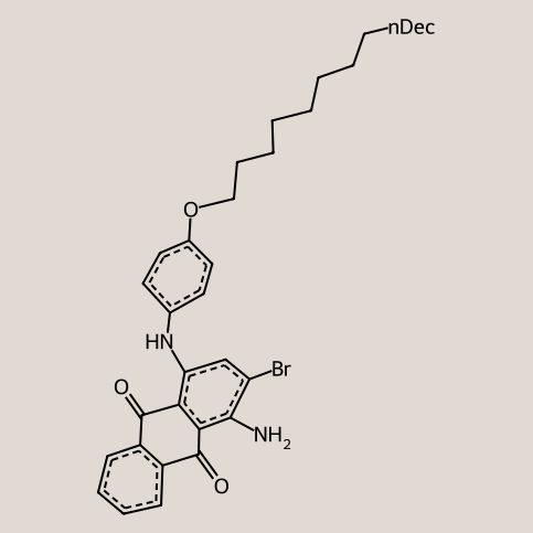 CCCCCCCCCCCCCCCCCCOc1ccc(Nc2cc(Br)c(N)c3c2C(=O)c2ccccc2C3=O)cc1